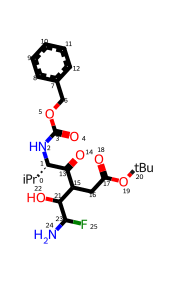 CC(C)[C@H](NC(=O)OCc1ccccc1)C(=O)C(CC(=O)OC(C)(C)C)C(O)C(N)F